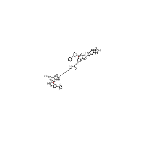 Cc1ncsc1-c1ccc([C@H](C)NC(=O)[C@@H]2C[C@@H](O)CN2C(=O)C(NC(=O)CCCCCCCCCNC(=O)CO[C@H]2C[C@@H](C(=O)N3CCCC(c4ccccc4)C3)N(C(=O)C(NC(=O)c3cc4cc(C(F)(F)P(=O)(O)O)ccc4s3)C(C)(C)C)C2)C(C)(C)C)cc1